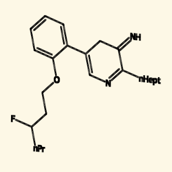 CCCCCCCC1=NC=C(c2ccccc2OCCC(F)CCC)CC1=N